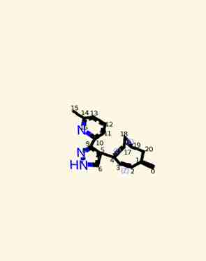 C=C1\C=C/C(c2c[nH]nc2-c2cccc(C)n2)=C/C=C/C1